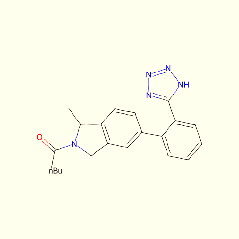 CCCCC(=O)N1Cc2cc(-c3ccccc3-c3nnn[nH]3)ccc2C1C